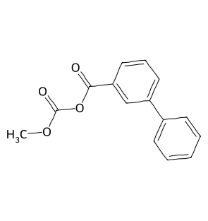 COC(=O)OC(=O)c1cccc(-c2ccccc2)c1